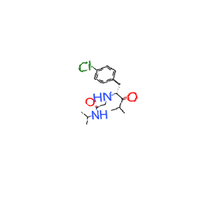 CC(C)NC(=O)CN[C@H](Cc1ccc(Cl)cc1)C(=O)C(C)C